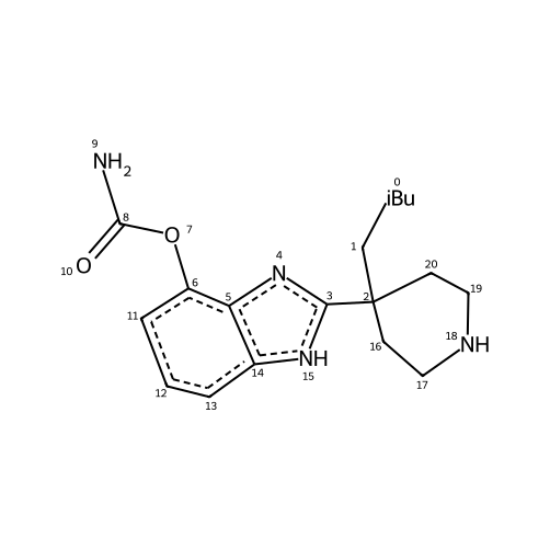 CCC(C)CC1(c2nc3c(OC(N)=O)cccc3[nH]2)CCNCC1